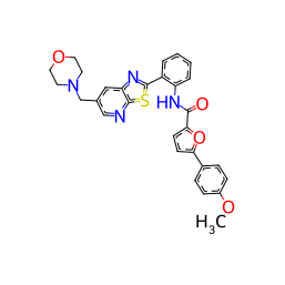 COc1ccc(-c2ccc(C(=O)Nc3ccccc3-c3nc4cc(CN5CCOCC5)cnc4s3)o2)cc1